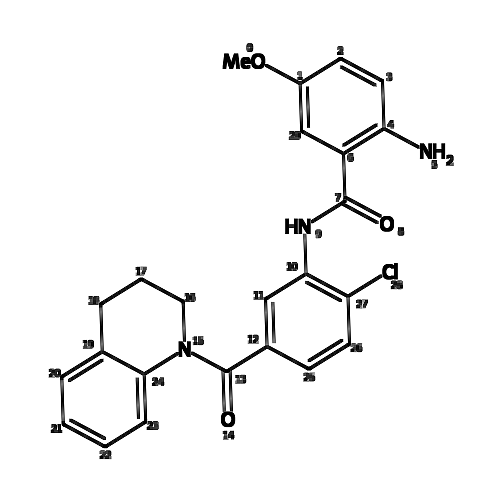 COc1ccc(N)c(C(=O)Nc2cc(C(=O)N3CCCc4ccccc43)ccc2Cl)c1